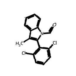 Cc1c(-c2c(Cl)cccc2Cl)n(C=O)c2cc[c]cc12